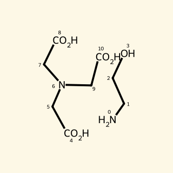 NCCO.O=C(O)CN(CC(=O)O)CC(=O)O